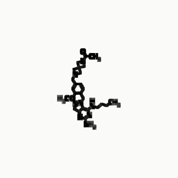 CCCCNc1nc(N)nc2cnn(Cc3ccc(CN4CC5(C4)CN(C(C)=O)C5)cc3OC)c12